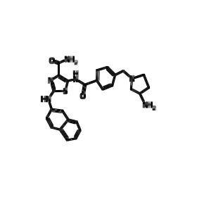 NC(=O)c1nc(Nc2ccc3ccccc3c2)sc1NC(=O)c1ccc(CN2CCC(N)C2)cc1